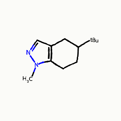 Cn1ncc2c1CCC(C(C)(C)C)C2